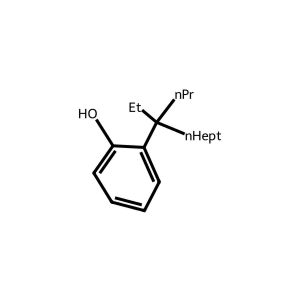 CCCCCCCC(CC)(CCC)c1ccccc1O